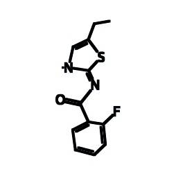 CCC1=C[N]C(=NC(=O)c2ccccc2F)S1